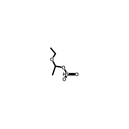 CCOC(C)O[SH](=O)=O